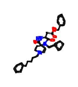 O=C(CC1NC(=O)C2(CCN(CCCCCc3ccccc3)CC2)N(Cc2ccccc2)C1=O)OCc1ccccc1